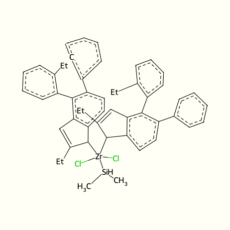 CCC1=Cc2c(ccc(-c3ccccc3)c2-c2ccccc2CC)[CH]1[Zr]([Cl])([Cl])([CH]1C(CC)=Cc2c1ccc(-c1ccccc1)c2-c1ccccc1CC)[SiH](C)C